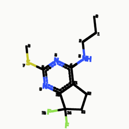 CCCNc1nc(SC)nc2c1CCC2(F)F